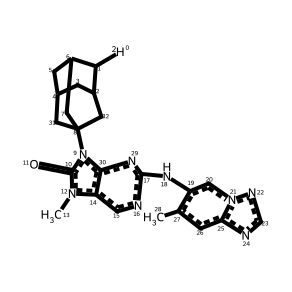 [2H]C1C2CC3CC1CC(n1c(=O)n(C)c4cnc(Nc5cn6ncnc6cc5C)nc41)(C3)C2